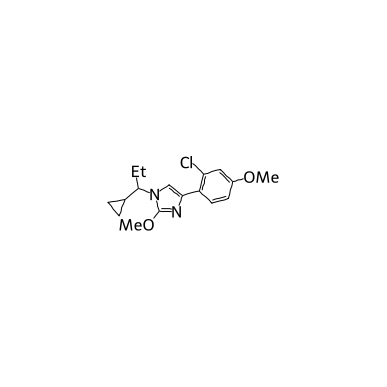 CCC(C1CC1)n1cc(-c2ccc(OC)cc2Cl)nc1OC